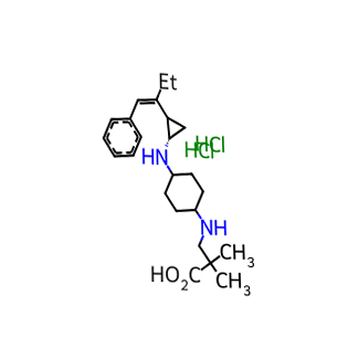 CCC(=Cc1ccccc1)C1C[C@@H]1NC1CCC(NCC(C)(C)C(=O)O)CC1.Cl.Cl